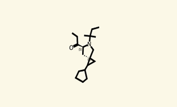 CCC(=O)[C@@H]1C[C@@]2(CC2C2CCCC2)CN1C(C)(C)CC